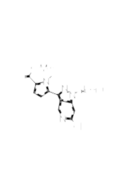 CCC[C@H](C)n1nc(-c2ccc(C(=O)OC)n2C)c2cnc(Cl)cc21